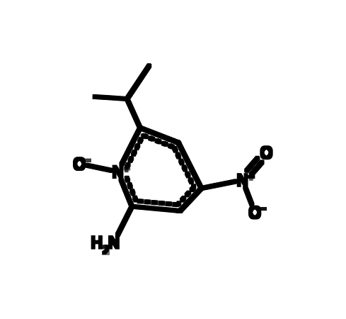 CC(C)c1cc([N+](=O)[O-])cc(N)[n+]1[O-]